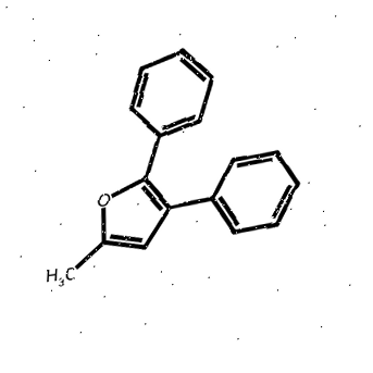 Cc1cc(-c2ccccc2)c(-c2ccccc2)o1